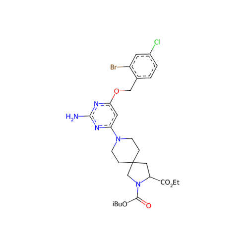 CCOC(=O)C1CC2(CCN(c3cc(OCc4ccc(Cl)cc4Br)nc(N)n3)CC2)CN1C(=O)OCC(C)C